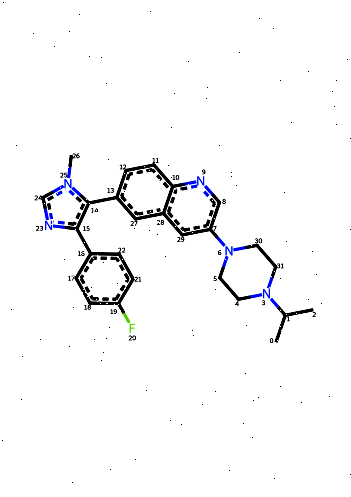 CC(C)N1CCN(c2cnc3ccc(-c4c(-c5ccc(F)cc5)ncn4C)cc3c2)CC1